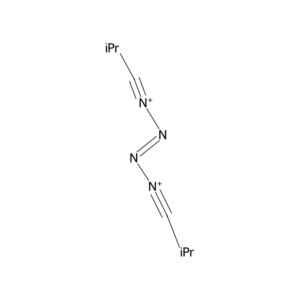 CC(C)C#[N+]N=N[N+]#CC(C)C